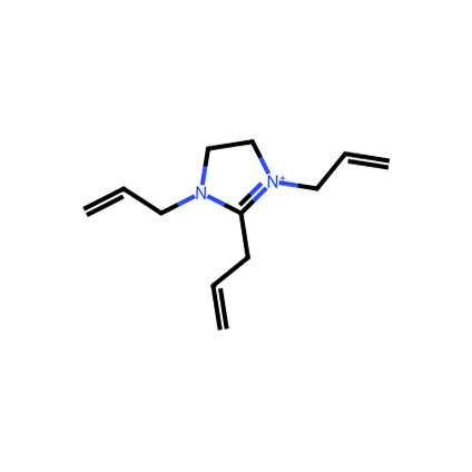 C=CCC1=[N+](CC=C)CCN1CC=C